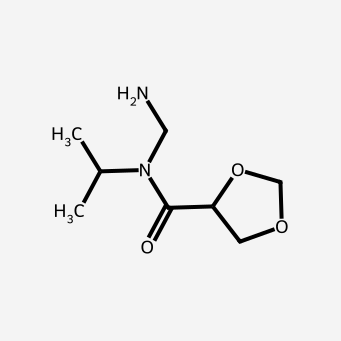 CC(C)N(CN)C(=O)C1COCO1